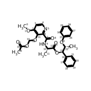 COc1ccnc(C(=O)N[C@@H](C)C(=O)O[C@H](c2ccccc2)[C@@H](C)Oc2ccccc2)c1OCOC(C)=O